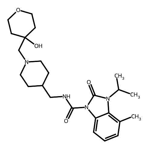 Cc1cccc2c1n(C(C)C)c(=O)n2C(=O)NCC1CCN(CC2(O)CCOCC2)CC1